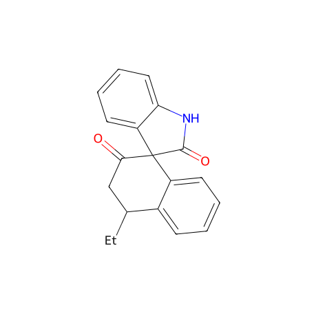 CCC1CC(=O)C2(C(=O)Nc3ccccc32)c2ccccc21